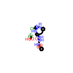 O=C(NCCNS(=O)(=O)c1ccccc1)Nc1ccc2cc1CCc1cccc(c1)Nc1ncc(Cl)c(n1)N2.O=C(O)C(F)(F)F